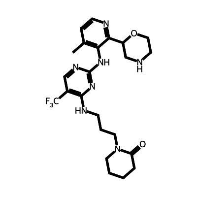 Cc1ccnc(C2CNCCO2)c1Nc1ncc(C(F)(F)F)c(NCCCN2CCCCC2=O)n1